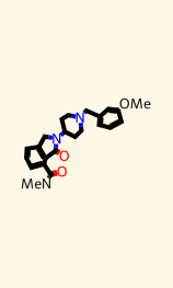 CNC(=O)c1cccc2c1C(=O)N(C1CCN(Cc3cccc(OC)c3)CC1)C2